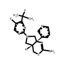 CC(C)(F)c1nc(N2C[C@H]3CSC(N)=N[C@@]3(c3cccnc3)C2)ncc1F